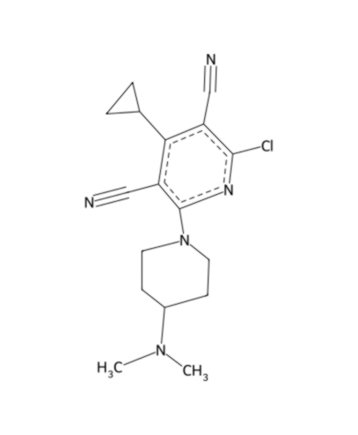 CN(C)C1CCN(c2nc(Cl)c(C#N)c(C3CC3)c2C#N)CC1